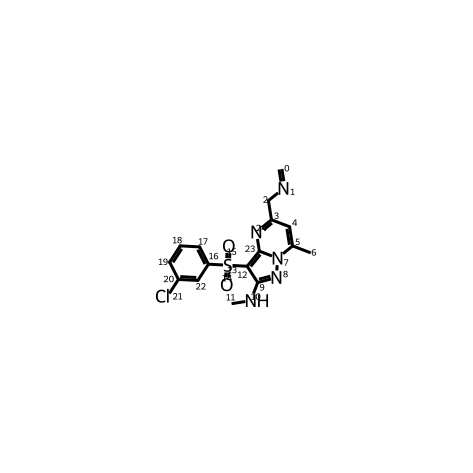 C=NCc1cc(C)n2nc(NC)c(S(=O)(=O)c3cccc(Cl)c3)c2n1